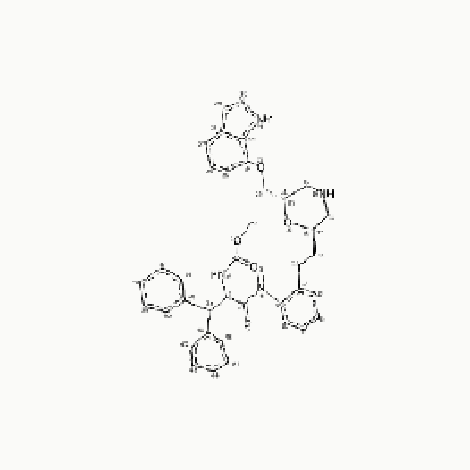 COC(=O)NC(C(=O)Nc1ccccc1CC[C@@H]1CNC[C@@H](COc2cccc3cn[nH]c23)O1)C(c1ccccc1)c1ccccc1